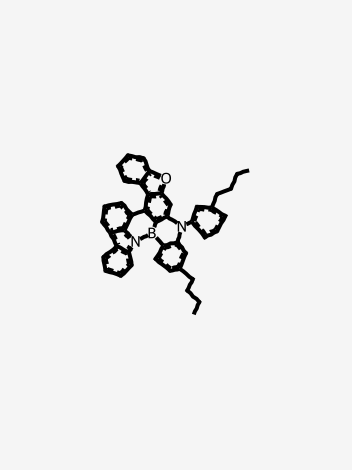 CCCCc1cccc(N2c3cc(CCCC)ccc3B3c4c2cc2oc5ccccc5c2c4-c2cccc4c5ccccc5n3c24)c1